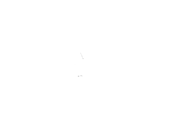 C=C(CCCCC)C1CC(C)=CCO1